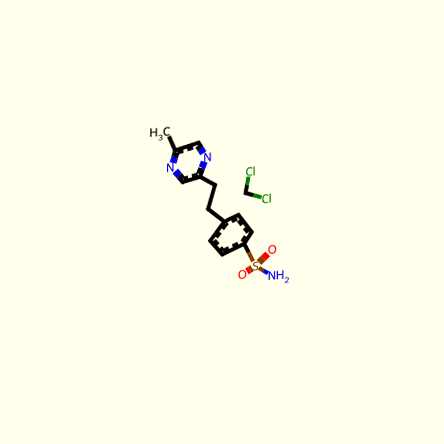 Cc1cnc(CCc2ccc(S(N)(=O)=O)cc2)cn1.ClCCl